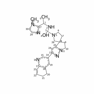 CC(NC(O)N1CCC2(CCn3nc(-c4cnc5c(c4)CCC=C5)cc32)C1)c1nccn1C